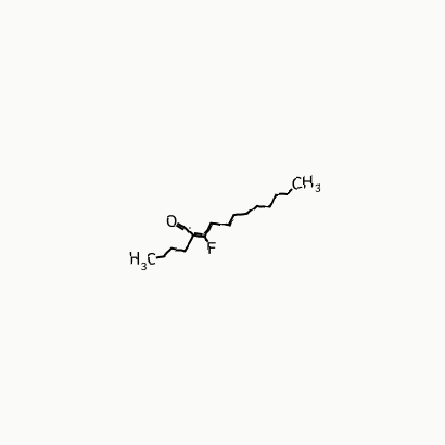 CCCCCCCCCC(F)=C([C]=O)CCCC